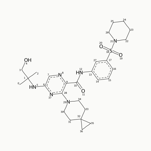 CC(C)(CO)Nc1cnc(C(=O)Nc2cccc(S(=O)(=O)N3CCCCC3)c2)c(N2CCC3(CC2)CC3)n1